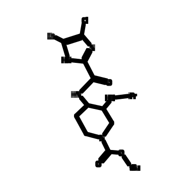 CCc1[nH]c(C(=O)NC2CCN(C(=O)OC(C)(C)C)CC2NC(C)C)nc1Cl